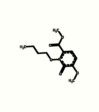 CCCCOn1c(C(=O)OC)ccc(OC)c1=O